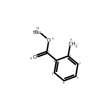 [CH2]c1ccccc1C(=O)OC(C)(C)C